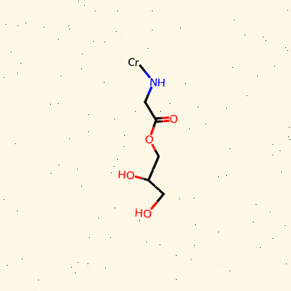 O=C(C[NH][Cr])OCC(O)CO